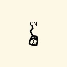 N#CCCC1C2CC3CC(C2)C1C3